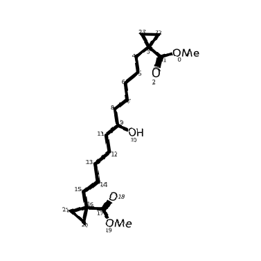 COC(=O)C1(CCCCCC(O)CCCCCC2(C(=O)OC)CC2)CC1